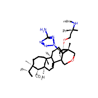 CCCCN[C@](C)(CO[C@H]1[C@H](n2nnc(N)n2)C[C@@]23COC[C@]1(C)[C@@H]2CC[C@H]1C3=CC[C@@]2(C)[C@H](C(=O)O)[C@@](C)([C@H](C)C(C)C)CC[C@]12C)C(C)C